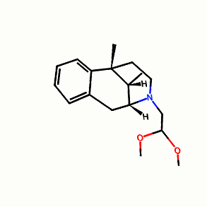 COC(CN1CC[C@@]2(C)c3ccccc3C[C@@H]1[C@H]2C)OC